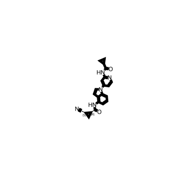 N#C[C@H]1C[C@H]1C(=O)Nc1cccc2c1ccn2-c1ccnc(NC(=O)C2CC2)c1